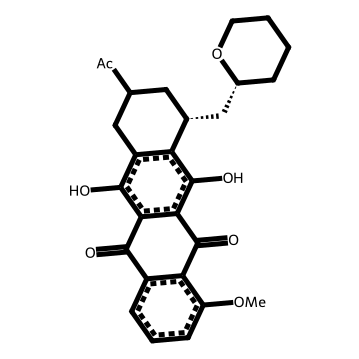 COc1cccc2c1C(=O)c1c(O)c3c(c(O)c1C2=O)CC(C(C)=O)C[C@@H]3C[C@H]1CCCCO1